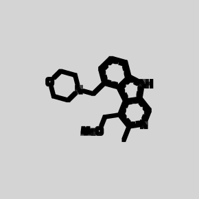 COCc1c(C)ncc2[nH]c3cccc(CN4CCOCC4)c3c12